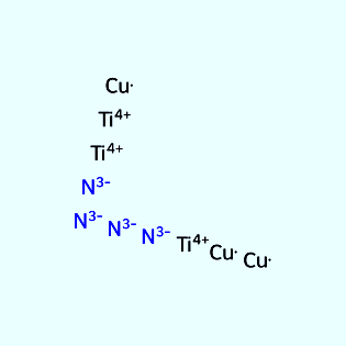 [Cu].[Cu].[Cu].[N-3].[N-3].[N-3].[N-3].[Ti+4].[Ti+4].[Ti+4]